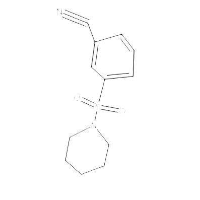 N#Cc1cccc(S(=O)(=O)N2C[CH]CCC2)c1